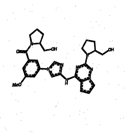 COc1cc(C(=O)N2CCCC2CO)cc(-n2cnc(Nc3nc(N4CCCC4CO)nn4cccc34)c2)c1